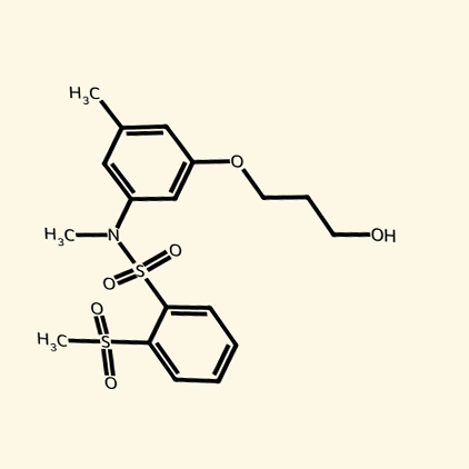 Cc1cc(OCCCO)cc(N(C)S(=O)(=O)c2ccccc2S(C)(=O)=O)c1